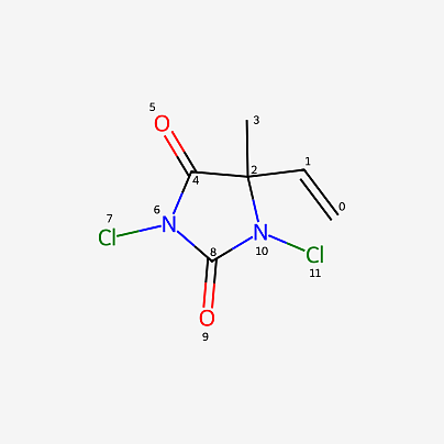 C=CC1(C)C(=O)N(Cl)C(=O)N1Cl